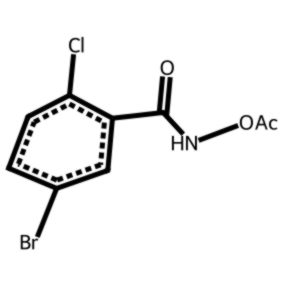 CC(=O)ONC(=O)c1cc(Br)ccc1Cl